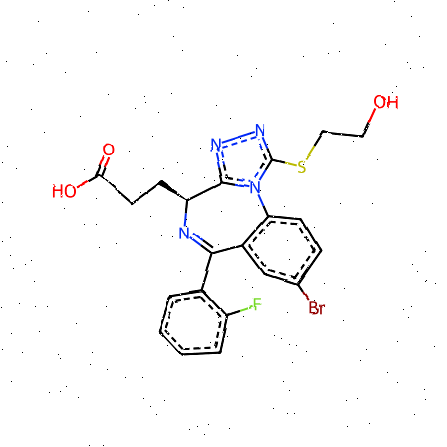 O=C(O)CC[C@@H]1N=C(c2ccccc2F)c2cc(Br)ccc2-n2c(SCCO)nnc21